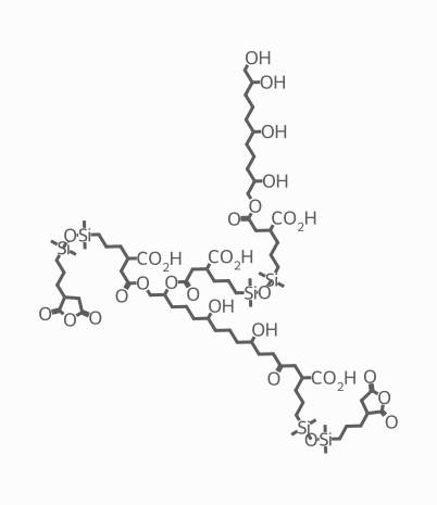 C[Si](C)(CCCC(CC(=O)CCC(O)CCCC(O)CCCC(COC(=O)CC(CCC[Si](C)(C)O[Si](C)(C)CCCC1CC(=O)OC1=O)C(=O)O)OC(=O)CC(CCC[Si](C)(C)O[Si](C)(C)CCCC(CC(=O)OCC(O)CCCC(O)CCCC(O)CO)C(=O)O)C(=O)O)C(=O)O)O[Si](C)(C)CCCC1CC(=O)OC1=O